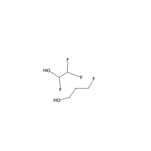 OC(F)C(F)F.OCCCF